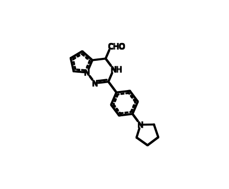 O=CC1NC(c2ccc(N3CCCC3)cc2)=Nn2cccc21